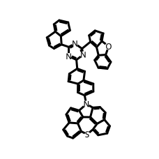 c1ccc2c(-c3nc(-c4ccc5cc(-n6c7ccc8cccc9sc%10cccc%11ccc6c(c%11%10)c7c89)ccc5c4)nc(-c4cccc5oc6ccccc6c45)n3)cccc2c1